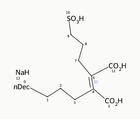 CCCCCCCCCCCCC/C(C(=O)O)=C(\CCCS(=O)(=O)O)C(=O)O.[NaH]